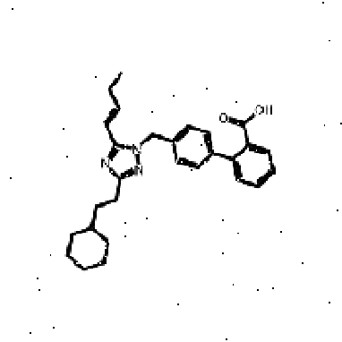 CCC=Cc1nc(CCC2CCCCC2)nn1Cc1ccc(-c2ccccc2C(=O)O)cc1